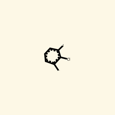 [CH2]c1cccc(I)c1Cl